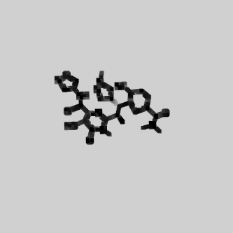 C[C@@H](c1nc(C(=O)Nc2cnoc2)c(O)c(=O)n1C)[C@H](c1cnn(C)c1)c1cc(C(=O)N(C)C)ccc1C#N